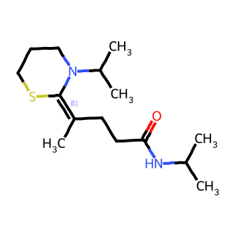 C/C(CCC(=O)NC(C)C)=C1\SCCCN1C(C)C